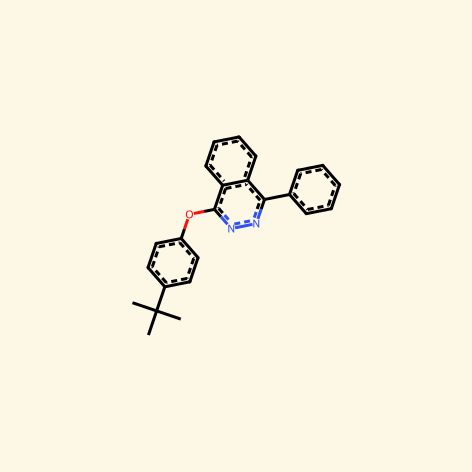 CC(C)(C)c1ccc(Oc2nnc(-c3ccccc3)c3ccccc23)cc1